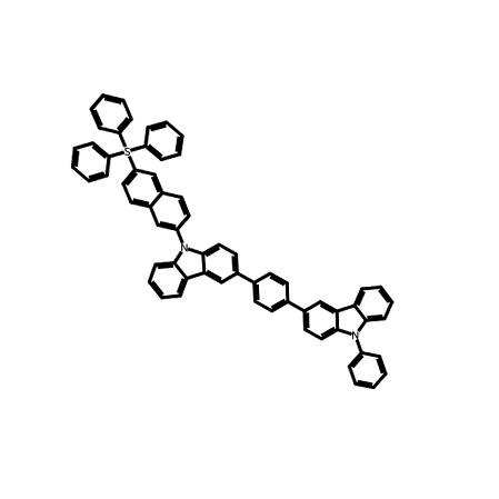 c1ccc(-n2c3ccccc3c3cc(-c4ccc(-c5ccc6c(c5)c5ccccc5n6-c5ccc6cc(S(c7ccccc7)(c7ccccc7)c7ccccc7)ccc6c5)cc4)ccc32)cc1